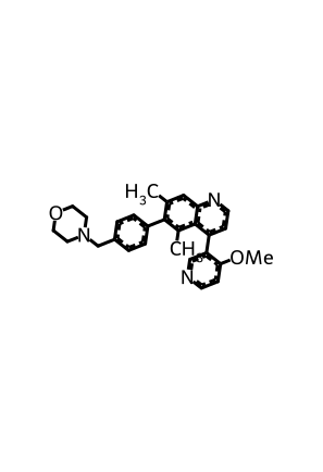 COc1ccncc1-c1ccnc2cc(C)c(-c3ccc(CN4CCOCC4)cc3)c(C)c12